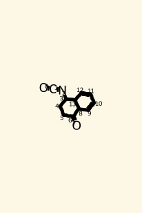 O=C=NC1CCC(=O)C2C=CC=CC12